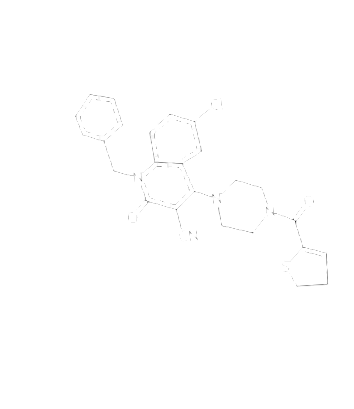 N#Cc1c(N2CCN(C(=O)C3=CCCS3)CC2)c2cc(Cl)ccc2n(Cc2ccccc2)c1=O